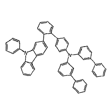 c1ccc(-c2cccc(N(c3ccc(-c4ccccc4-c4ccc5c6ccccc6n(-c6ccccc6)c5c4)cc3)c3cccc(-c4ccccc4)c3)c2)cc1